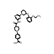 CCOc1ccccc1OC1CCCN(c2cncc(NC(=O)C3CCN(c4ccc(C(=O)O)cc4)CC3)n2)C1